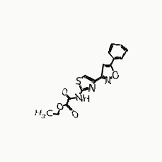 CCOC(=O)C(=O)Nc1nc(-c2cc(-c3ccccc3)on2)cs1